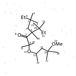 CCC(C)(C)CC(C)(C(=O)C(C)(C)OC(C)CC(C)(C)OC)C(C)(C)CC